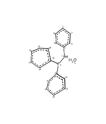 O.c1ccc(PP(c2ccccc2)c2ccccc2)cc1